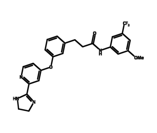 COc1cc(NC(=O)CCc2cccc(Oc3ccnc(C4=NCCN4)c3)c2)cc(C(F)(F)F)c1